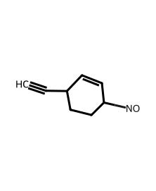 C#CC1C=CC(N=O)CC1